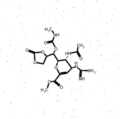 CNC(=O)O[C@H](C1COC(=O)O1)[C@@H]1OC(C(=O)OC)=C[C@H](NC(=N)N)[C@H]1NC(C)=O